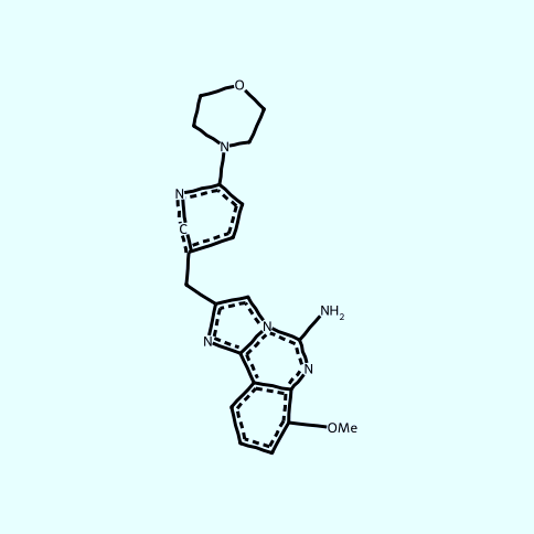 COc1cccc2c1nc(N)n1cc(Cc3ccc(N4CCOCC4)nc3)nc21